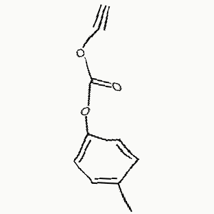 C#COC(=O)Oc1ccc(C)cc1